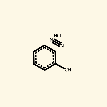 Cc1ccccc1.Cl.N#N